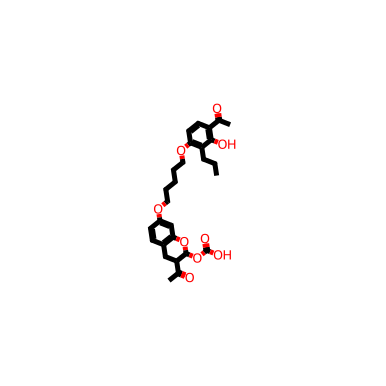 CCCc1c(OCCCCCOc2ccc3c(c2)OC(OC(=O)O)C(C(C)=O)C3)ccc(C(C)=O)c1O